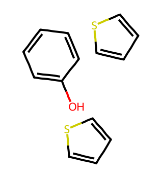 Oc1ccccc1.c1ccsc1.c1ccsc1